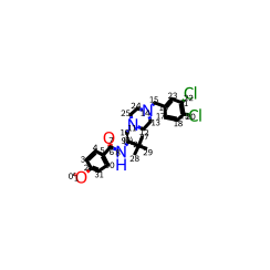 COc1ccc(C(=O)N[C@@H](CN2CCN(Cc3ccc(Cl)c(Cl)c3)CC2)C(C)(C)C)cc1